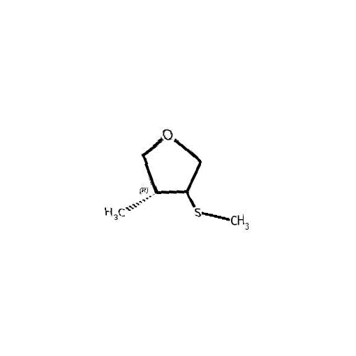 CSC1COC[C@H]1C